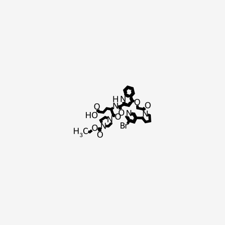 CCOC(=O)N1CCN(C(=O)C(CCC(=O)O)NC(=O)c2cc(OCC(=O)N3CCCC3c3cncc(Br)c3)c3ccccc3n2)CC1